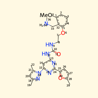 COc1cccc(OCCNC(=O)Nc2cc(-n3nc(C)cc3C)nc(-c3ccc(C)o3)n2)c1CN(C)C